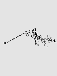 C#CC#CC#CC#CC#CC#COC(=O)c1ccc(Cl)c(NC(=O)C(=Nc2ccc(N(CC)CCNS(C)(=O)=O)cc2)C(=O)C(C)(C)C)c1